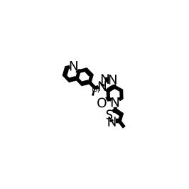 Cc1cc(N2CCc3nnn([C@@H](C)c4ccc5ncccc5c4)c3C2=O)sn1